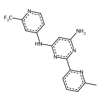 Cc1cccc(-c2nc(N)cc(Nc3ccnc(C(F)(F)F)c3)n2)n1